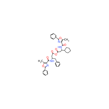 Cc1oc(-c2ccccc2)nc1C(=O)NC(CC(=O)OC(=O)CC(NC(=O)c1nc(-c2ccccc2)oc1C)C1CCCCC1)Cc1ccccc1